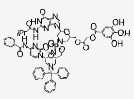 CC(C)C(=O)Nc1nc2c(ncn2C2CN(P(=O)(OCC3CN(C(c4ccccc4)(c4ccccc4)c4ccccc4)CC(n4ccc(NC(=O)c5ccccc5)nc4=O)O3)N(C)C)CC(COC(=O)COC(=O)c3cc(O)c(O)c(O)c3)O2)c(=O)[nH]1